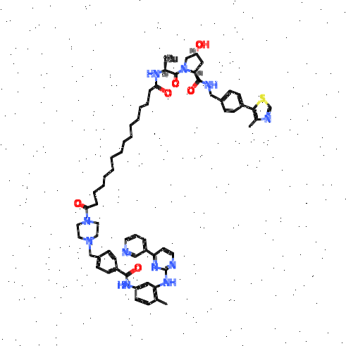 Cc1ccc(NC(=O)c2ccc(CN3CCN(C(=O)CCCCCCCCCCCCCCC(=O)N[C@H](C(=O)N4C[C@H](O)C[C@H]4C(=O)NCc4ccc(-c5scnc5C)cc4)C(C)(C)C)CC3)cc2)cc1Nc1nccc(-c2cccnc2)n1